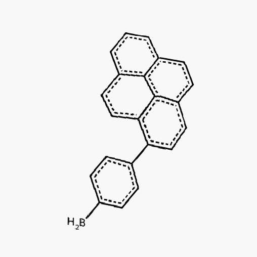 Bc1ccc(-c2ccc3ccc4cccc5ccc2c3c45)cc1